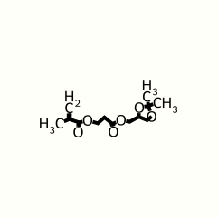 C=C(C)C(=O)OCCC(=O)OCC1COC(C)(C)O1